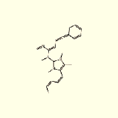 C=N/C(=C\C=C=C1C=CC=CC1)C(C)C1N(C)C(C)=C(/C=C\C=C/C)N1C